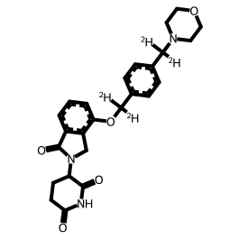 [2H]C([2H])(Oc1cccc2c1CN(C1CCC(=O)NC1=O)C2=O)c1ccc(C([2H])([2H])N2CCOCC2)cc1